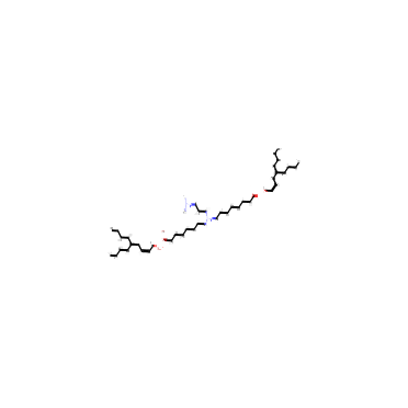 CCCCC(C/C=C\COC(=O)CCCCCCCN(CCCCCCCC(=O)OC/C=C\CC(CCCC)CCCC)CCCN(C)C)CCCC